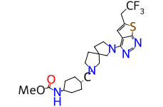 COC(=O)N[C@H]1CC[C@H](CN2CCC3(CCN(c4ncnc5sc(CC(F)(F)F)cc45)C3)C2)CC1